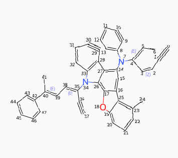 C#C/C=C\C(=C/C)N(c1c#cccc1)c1cc2c(oc3cccc(C)c32)c2c1c1c#cccc1n2/C(C#C)=C/C=C(\C)c1ccccc1